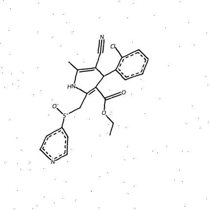 CCOC(=O)C1=C(C[S+]([O-])c2ccncc2)NC(C)=C(C#N)C1c1ccccc1Cl